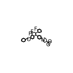 COC(OC)C1CCN(c2ccc(C3=C(c4ccccc4F)CC(F)(F)c4cc(OCc5ccccc5)ccc43)cc2)CC1